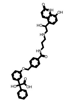 O=C(NCCCNCC(O)c1ccc(O)c2[nH]c(=O)ccc12)c1ccc(COc2cccc(C(O)(C(=O)O)c3ccccc3)c2)cc1